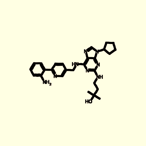 CC(C)(O)CCNc1nc(NCc2ccc(-c3ccccc3N)nc2)c2ncn(C3CCCC3)c2n1